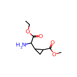 CCOC(=O)C(N)C1CC1C(=O)OC